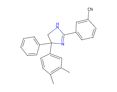 Cc1ccc(C2(c3ccccc3)CNC(c3cccc(C#N)c3)=N2)cc1C